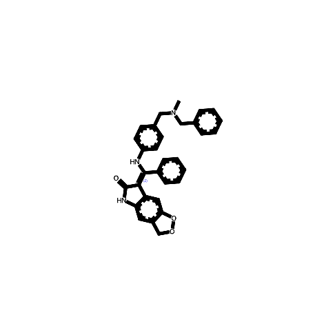 CN(Cc1ccccc1)Cc1ccc(N/C(=C2\C(=O)Nc3cc4c(cc32)OOC4)c2ccccc2)cc1